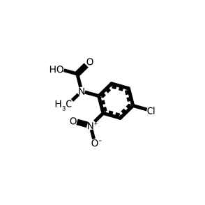 CN(C(=O)O)c1ccc(Cl)cc1[N+](=O)[O-]